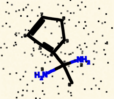 CC(N)(N)C1=CC=CCC1